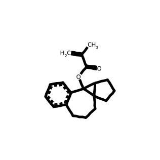 C=C(C)C(=O)OC12c3ccccc3CCCC13CCCC32